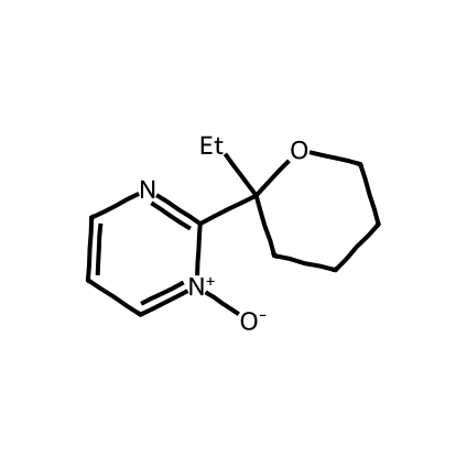 CCC1(c2nccc[n+]2[O-])CCCCO1